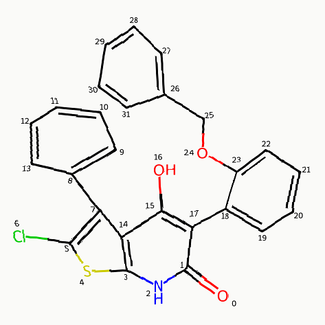 O=c1[nH]c2sc(Cl)c(-c3ccccc3)c2c(O)c1-c1ccccc1OCc1ccccc1